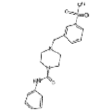 O=C(Nc1ccccc1)N1CCN(Cc2cccc(S(=O)(=O)O)c2)CC1